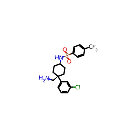 NC[C@]1(c2cccc(Cl)c2)CC[C@H](NS(=O)(=O)c2ccc(C(F)(F)F)cc2)CC1